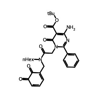 CCCCCCN(CC1=CC=CC(=O)C1=O)C(=O)Cn1c(-c2ccccc2)nc(N)c(C(=O)OC(C)(C)C)c1=O